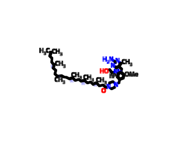 CCC[C@@H](CO)Nc1nc(N)nc(C)c1Cc1ccc(CN2CCN(C(=O)CC/C(C)=C/CC/C(C)=C/CC/C(C)=C/CC/C=C(\C)CC/C=C(\C)CCC=C(C)C)CC2)cc1OC